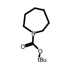 CC(C)(C)OC(=O)N1CC[CH]CCC1